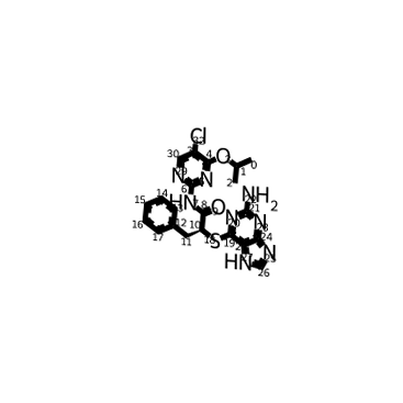 CC(C)Oc1nc(NC(=O)[C@H](Cc2ccccc2)Sc2nc(N)nc3nc[nH]c23)ncc1Cl